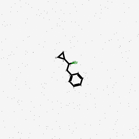 BrC(Cc1ccccc1)C1CC1